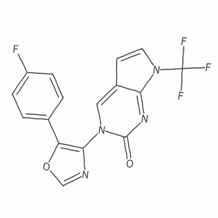 O=c1nc2c(ccn2C(F)(F)F)cn1-c1ncoc1-c1ccc(F)cc1